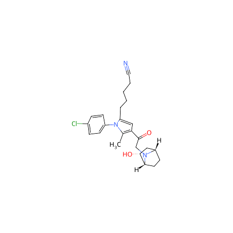 Cc1c(C(=O)CN2[C@H]3CC[C@@H]2[C@H](O)C3)cc(CCCCC#N)n1-c1ccc(Cl)cc1